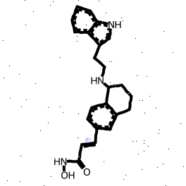 O=C(/C=C/c1ccc2c(c1)CCCC2NCCc1c[nH]c2ccccc12)NO